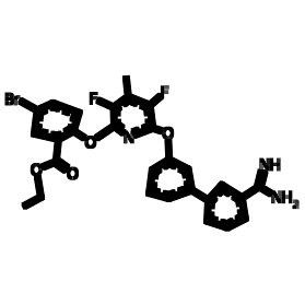 CCOC(=O)c1cc(Br)ccc1Oc1nc(Oc2cccc(-c3cccc(C(=N)N)c3)c2)c(F)c(C)c1F